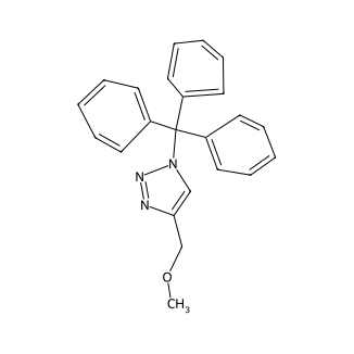 COCc1cn(C(c2ccccc2)(c2ccccc2)c2ccccc2)nn1